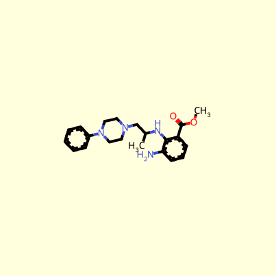 COC(=O)c1cccc(N)c1NC(C)CN1CCN(c2ccccc2)CC1